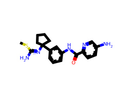 CS/C(N)=N\C1(c2cccc(NC(=O)c3ccc(N)cn3)c2)CCCC1